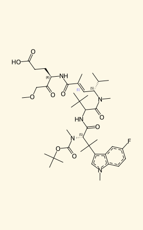 COCC(=O)[C@@H](CCC(=O)O)NC(=O)/C(C)=C/[C@H](C(C)C)N(C)C(=O)C(NC(=O)[C@@H](N(C)C(=O)OC(C)(C)C)C(C)(C)c1cn(C)c2ccc(F)cc12)C(C)(C)C